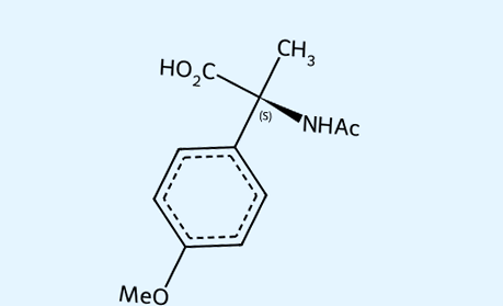 COc1ccc([C@](C)(NC(C)=O)C(=O)O)cc1